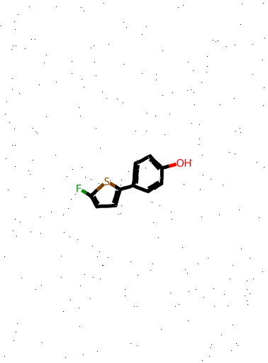 Oc1ccc(-c2ccc(F)s2)cc1